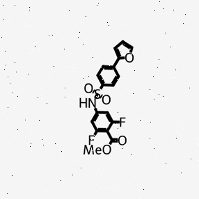 COC(=O)c1c(F)cc(NS(=O)(=O)c2ccc(-c3ccco3)cc2)cc1F